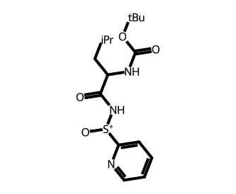 CC(C)CC(NC(=O)OC(C)(C)C)C(=O)N[S+]([O-])c1ccccn1